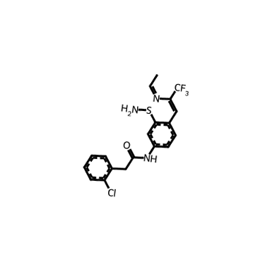 C/C=N\C(=C/c1ccc(NC(=O)Cc2ccccc2Cl)cc1SN)C(F)(F)F